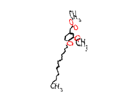 CCCCCCCCCCCCCCOc1ccc(CC(=O)OCC)cc1OC